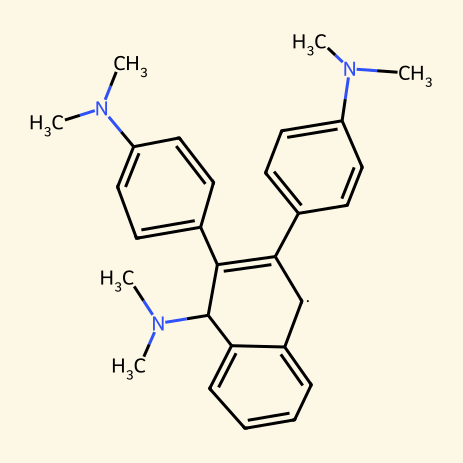 CN(C)c1ccc(C2=C(c3ccc(N(C)C)cc3)C(N(C)C)c3ccccc3[CH]2)cc1